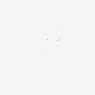 CCC(CC)[PH](=O)OC(C)(CC)C[C@H]1C[C@H](n2ccc(=O)[nH]c2=O)[C@H](O)[C@@H]1O